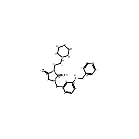 O=C1CN(Cc2cccc(OCc3ccccc3)c2)C(=O)N1CCN1CCCCC1